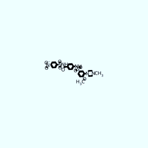 COc1ccc(S(=O)(=O)Nc2ccc(C(=O)NS(=O)(=O)c3ccc([N+](=O)[O-])cc3)cc2)cc1N1CCN(C)CC1